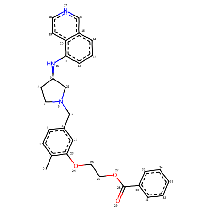 Cc1ccc(CN2CC[C@@H](Nc3cccc4cnccc34)C2)cc1OCCOC(=O)c1ccccc1